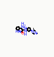 C[C@H]1CN(C)CCN1c1ccc2nc(-c3c(N)c4ccccc4[nH]c3=O)[nH]c2c1